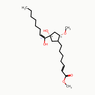 CCCCCC/C=C(/O)[C@]1(O)CC(CCCCC=CC(=O)OC)[C@@H](OC)C1